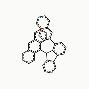 c1ccc2c(c1)-c1cccc(-c3ccc4ccccc4c3)c1C2c1c2ccccc2cc2ccccc12